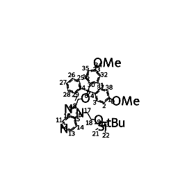 COc1ccc(C(OCc2nc3cnccc3n2CCO[Si](C)(C)C(C)(C)C)(c2ccccc2)c2ccc(OC)cc2)cc1